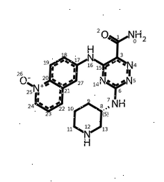 NC(=O)c1nnc(N[C@H]2CCCNC2)nc1Nc1ccc2c(ccc[n+]2[O-])c1